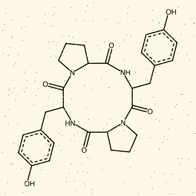 O=C1NC(Cc2ccc(O)cc2)C(=O)N2CCCC2C(=O)NC(Cc2ccc(O)cc2)C(=O)N2CCCC12